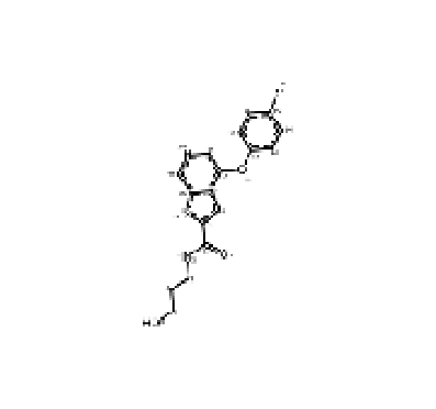 O=C(NCCCO)c1cc2c(Oc3ccc(Cl)cc3)cncc2s1